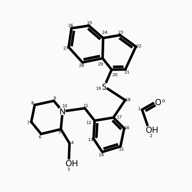 O=CO.OCC1CCCCN1Cc1ccccc1CSc1cccc2ccccc12